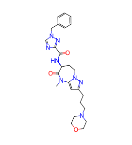 CN1C(=O)[C@@H](NC(=O)c2ncn(Cc3ccccc3)n2)CCn2nc(CCCN3CCOCC3)cc21